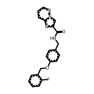 O=C(NCc1ccc(OCc2ccccc2F)cc1)c1cn2ncccc2n1